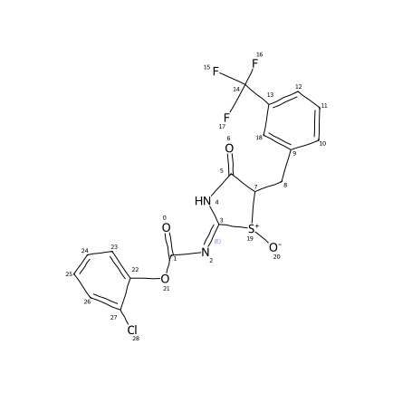 O=C(/N=C1\NC(=O)C(Cc2cccc(C(F)(F)F)c2)[S+]1[O-])Oc1ccccc1Cl